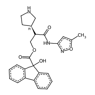 Cc1cc(NC(=O)C(COC(=O)C2(O)c3ccccc3-c3ccccc32)[C@H]2CCNC2)no1